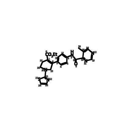 CCOC(=O)C1=C(c2ccc(NC(=O)c3ncncc3C)cc2)CN(c2nccs2)CC1